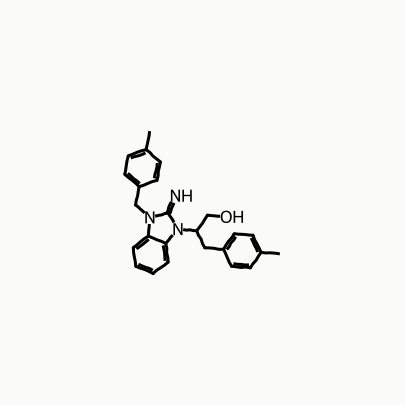 Cc1ccc(CC(CO)n2c(=N)n(Cc3ccc(C)cc3)c3ccccc32)cc1